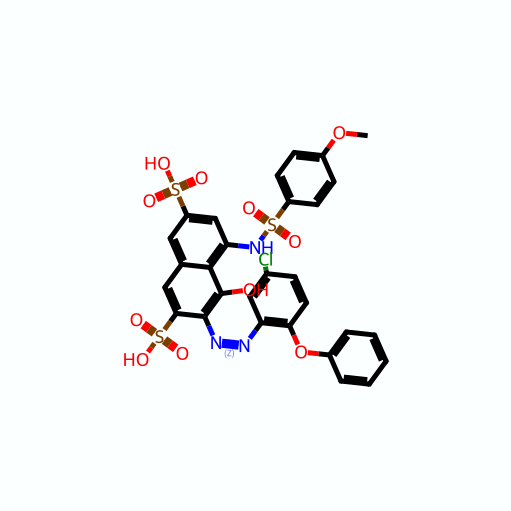 COc1ccc(S(=O)(=O)Nc2cc(S(=O)(=O)O)cc3cc(S(=O)(=O)O)c(/N=N\c4cc(Cl)ccc4Oc4ccccc4)c(O)c23)cc1